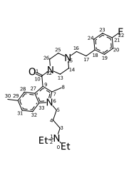 CCN(CC)CCCn1c(C)c(C(=O)N2CCN(CCc3ccc(F)cc3)CC2)c2cc(C)ccc21